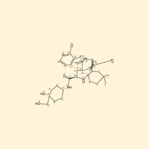 CC1(C)CCC2(CC1)N[C@@H](C(=O)N[C@H]1CC[C@](O)(CO)CC1)[C@H](c1ccnc(Cl)c1F)[C@]21C(=O)Nc2cc(Cl)ccc21